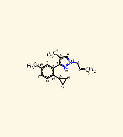 C=CCn1cc(C)c(-c2cc(C)ccc2C2CC2)n1